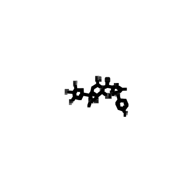 CCC1Cc2c(nn(C)c2-c2cc(F)c(F)c(F)c2)C(CC)N1C(=O)c1nc(C)n(-c2ccc(F)cc2)n1